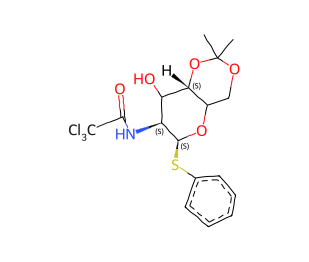 CC1(C)OCC2O[C@@H](Sc3ccccc3)[C@@H](NC(=O)C(Cl)(Cl)Cl)C(O)[C@@H]2O1